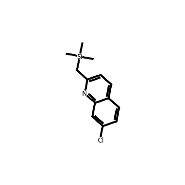 C[Si](C)(C)Cc1ccc2ccc(Cl)cc2n1